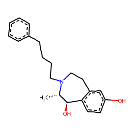 C[C@H]1[C@H](O)c2ccc(O)cc2CCN1CCCCc1ccccc1